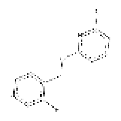 Fc1c[c]ccc1COc1cccc(Cl)n1